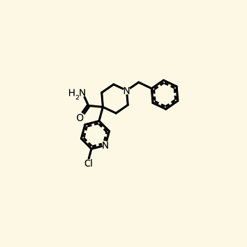 NC(=O)C1(c2ccc(Cl)nc2)CCN(Cc2ccccc2)CC1